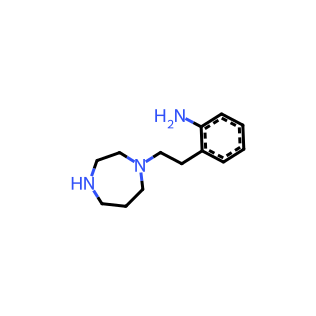 Nc1ccccc1CCN1CCCNCC1